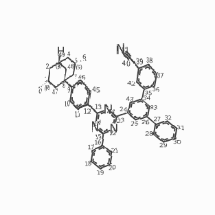 C[C@@H]1C[C@@H]2C[C@H](C)CC(c3ccc(-c4nc(-c5ccccc5)nc(-c5cc(-c6ccccc6)cc(-c6cccc(C#N)c6)c5)n4)cc3)(C1)C2